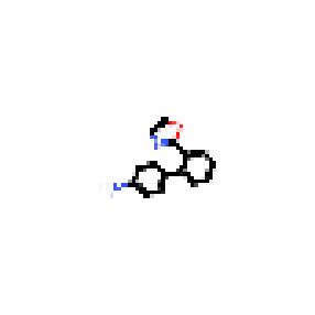 Nc1ccc(-c2ccccc2-c2ncco2)cc1